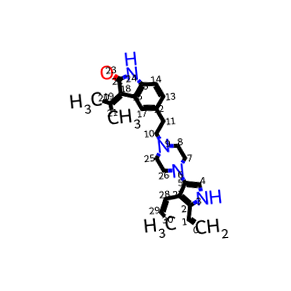 C=Cc1[nH]cc(N2CCN(CCc3ccc4c(c3)C(=C(C)C)C(=O)N4)CC2)c1/C=C\C